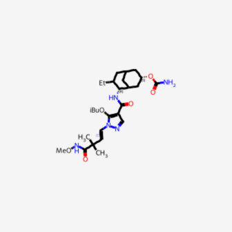 CCC1CC2CC(C[C@@H](OC(N)=O)C2)[C@@H]1NC(=O)c1cnn(/C=C/C(C)(C)C(=O)NOC)c1OCC(C)C